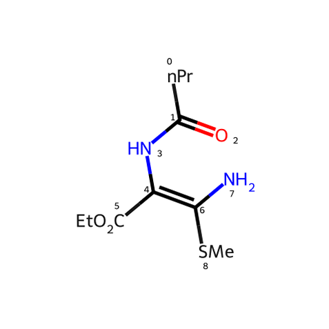 CCCC(=O)NC(C(=O)OCC)=C(N)SC